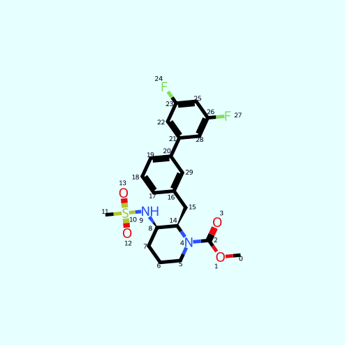 COC(=O)N1CCC[C@@H](NS(C)(=O)=O)[C@H]1Cc1cccc(-c2cc(F)cc(F)c2)c1